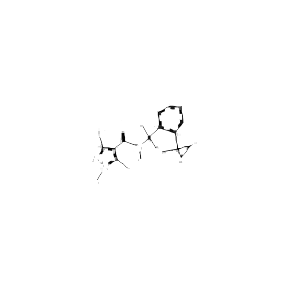 Cc1c(C(=O)N(C)C(C)(C)c2ccccc2C2(C)CC2)c(C(C)C)nn1C